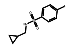 O=S(=O)(NCC1CC1)c1ccc(F)cc1